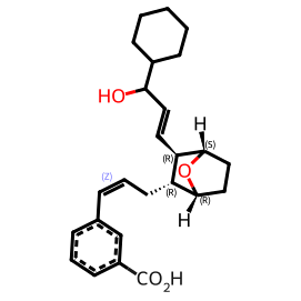 O=C(O)c1cccc(/C=C\C[C@@H]2[C@@H](C=CC(O)C3CCCCC3)[C@@H]3CC[C@H]2O3)c1